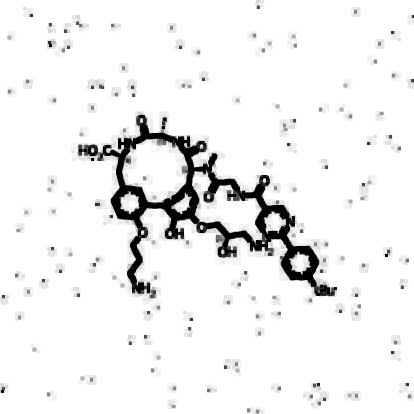 C[C@@H]1NC(=O)[C@@H](N(C)C(=O)CNC(=O)c2cnc(-c3ccc(C(C)(C)C)cc3)nc2)c2cc(OC[C@H](O)CN)c(O)c(c2)-c2cc(ccc2OCCCN)C[C@@H](C(=O)O)NC1=O